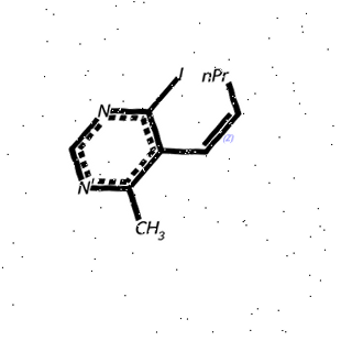 CCC/C=C\c1c(C)ncnc1I